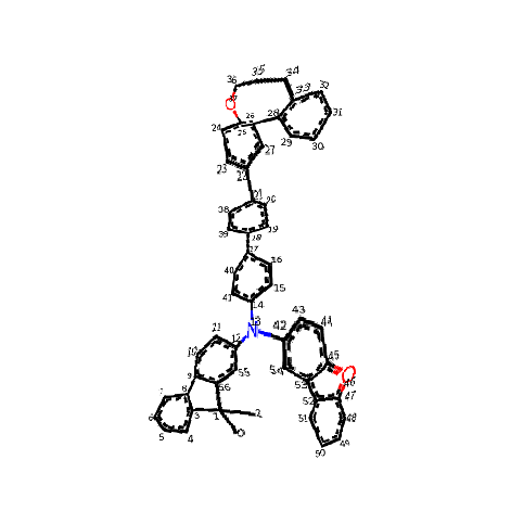 CC1(C)c2ccccc2-c2ccc(N(c3ccc(-c4ccc(-c5ccc6c(c5)-c5ccccc5CCCO6)cc4)cc3)c3ccc4oc5ccccc5c4c3)cc21